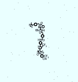 Cc1ncsc1-c1ccc(CNC(=O)[C@@H]2CCCN2C(=O)[C@@H](NC(=O)Cc2ccc(C(=O)Nc3ccc(-c4ncc(N5C(=S)N(c6ccc(C#N)c(C(F)(F)F)c6F)C(=O)C5(C)C)cc4F)c(C(F)(F)F)c3)cc2)C(C)(C)C)cc1